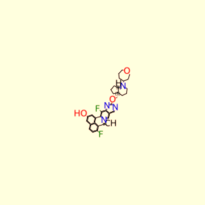 C#Cc1c(F)ccc2cc(O)cc(-c3ncc4cnc(OC[C@]56CCC[C@H]5N(C5CCCOCC5)CCC6)nc4c3F)c12